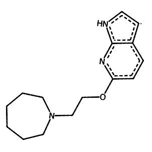 [c]1c[nH]c2nc(OCCN3CCCCCC3)ccc12